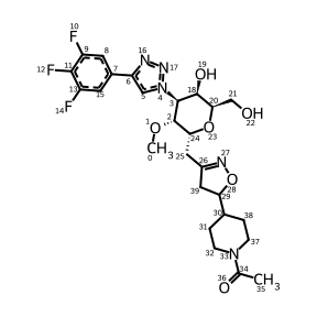 CO[C@@H]1[C@@H](n2cc(-c3cc(F)c(F)c(F)c3)nn2)[C@@H](O)[C@@H](CO)O[C@@H]1CC1=NOC(C2CCN(C(C)=O)CC2)C1